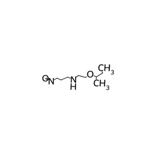 CCC(C)OCCNCCCN=O